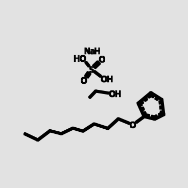 CCCCCCCCCOc1ccccc1.CCO.O=S(=O)(O)O.[NaH]